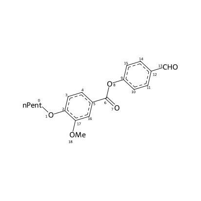 CCCCCOc1ccc(C(=O)Oc2ccc(C=O)cc2)cc1OC